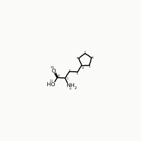 NC(CCC1CCCC1)C(=O)O